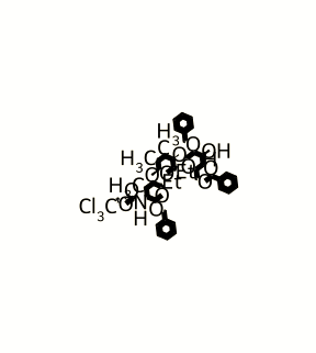 CCC1O[C@@H](O[C@@H]2C(CC)O[C@@H](OCc3ccccc3)C(NC(=O)OCC(Cl)(Cl)Cl)[C@H]2C)C(C)[C@@H](C)[C@@H]1O[C@@H]1OC2COC(c3ccccc3)O[C@H]2[C@H](O)C1OCc1ccccc1